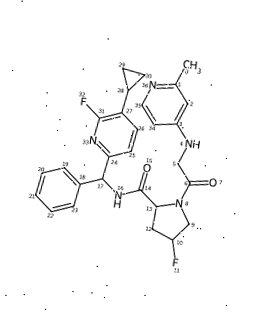 Cc1cc(NCC(=O)N2CC(F)CC2C(=O)NC(c2ccccc2)c2ccc(C3CC3)c(F)n2)ccn1